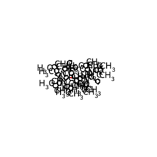 Cc1cc2c3c(c1)N(c1ccc4c(c1)[Si](c1ccccc1)(c1ccc(CC5(C)CCC(C)(C)c6cc7c8c(sc7cc65)B5c6cc7c(cc6N(c6ccc9c(c6)C(C)(C)CCC9(C)C)c6cc(-c9ccccc9)cc(c65)N8c5ccc(C(C)(C)C)cc5)C(C)(C)CCC7(C)C)cc1)c1ccccc1-4)c1c(sc4cc5c(cc14)C(C)(C)CCC5(C)C)B3c1cc3c(cc1N2c1ccc2c(c1)C(C)(C)CCC2(C)C)C(C)(C)CCC3(C)C